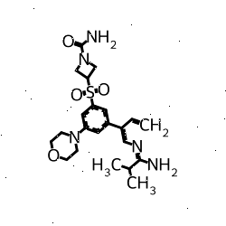 C=C/C(=C\N=C(\N)C(C)C)c1cc(N2CCOCC2)cc(S(=O)(=O)C2CN(C(N)=O)C2)c1